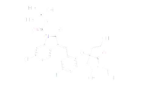 CCCC(CCC)(Oc1ccc(Cl)cc1/C=C1/C(=O)N(C(=O)OC(C)(C)C)c2cc(Cl)ccc21)C(=O)OCC